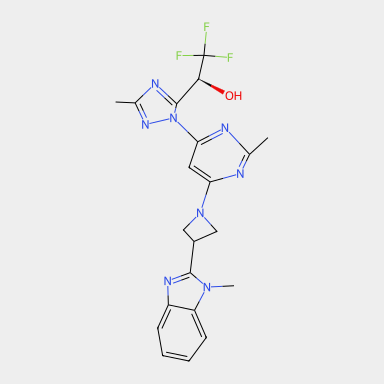 Cc1nc(N2CC(c3nc4ccccc4n3C)C2)cc(-n2nc(C)nc2[C@H](O)C(F)(F)F)n1